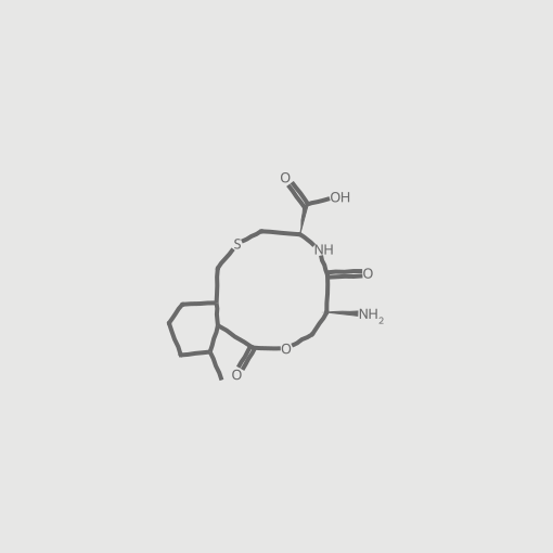 CC1CCCC2CSC[C@@H](C(=O)O)NC(=O)[C@@H](N)COC(=O)C12